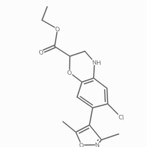 CCOC(=O)C1CNc2cc(Cl)c(-c3c(C)noc3C)cc2O1